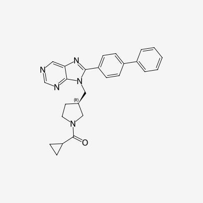 O=C(C1CC1)N1CC[C@@H](Cn2c(-c3ccc(-c4ccccc4)cc3)nc3cncnc32)C1